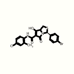 Cc1cc(Cl)ccc1NC(=O)C1=C(O)C2CS[C@@H](c3ccc(Br)cc3)N2C1=O